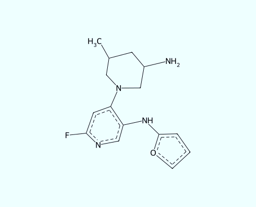 CC1CC(N)CN(c2cc(F)ncc2Nc2ccco2)C1